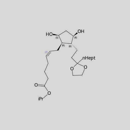 CCCCCCCC1(CC[C@@H]2[C@@H](C/C=C\CCCC(=O)OC(C)C)[C@@H](O)C[C@H]2O)OCCO1